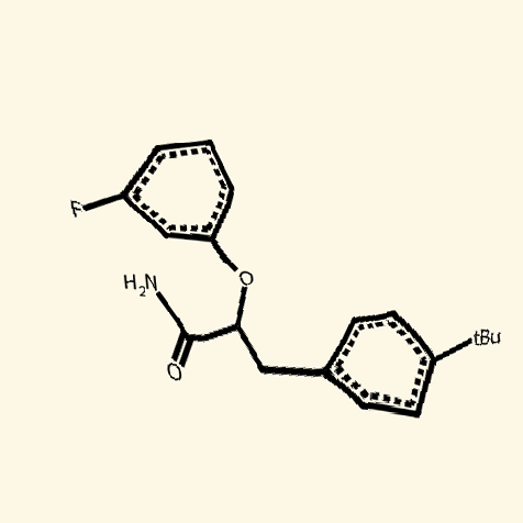 CC(C)(C)c1ccc(CC(Oc2cccc(F)c2)C(N)=O)cc1